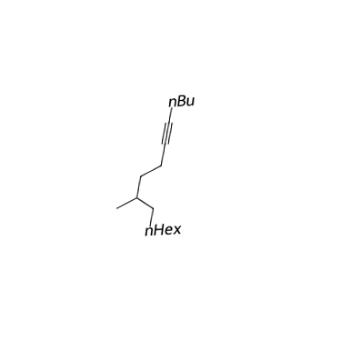 [CH2]CCCC#CCCC(C)CCCCCC[CH2]